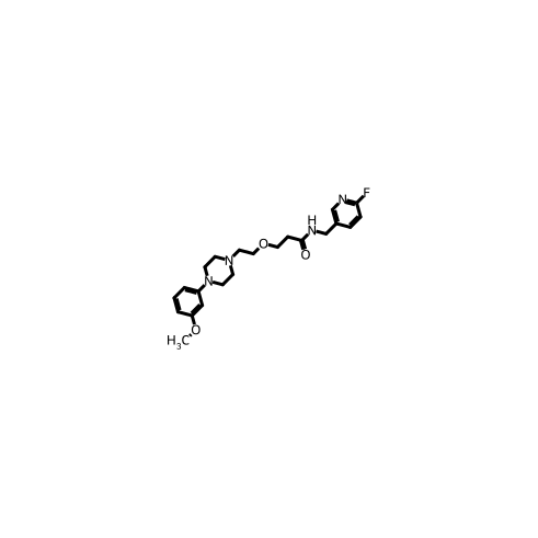 COc1cccc(N2CCN(CCOCCC(=O)NCc3ccc(F)nc3)CC2)c1